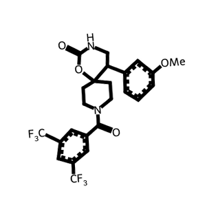 COc1cccc(C2CNC(=O)OC23CCN(C(=O)c2cc(C(F)(F)F)cc(C(F)(F)F)c2)CC3)c1